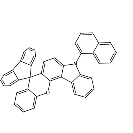 c1ccc2c(c1)Oc1c(ccc3c1c1ccccc1n3-c1cccc3ccccc13)C21c2ccccc2-c2ccccc21